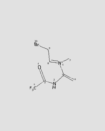 C=C(NC(=O)C(F)(F)F)[N+](C)=CCBr